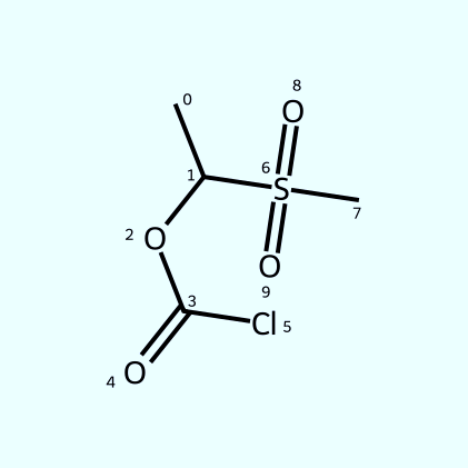 CC(OC(=O)Cl)S(C)(=O)=O